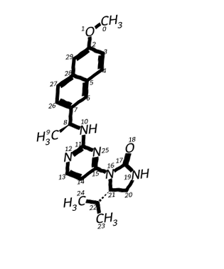 COc1ccc2cc([C@H](C)Nc3nccc(N4C(=O)NC[C@@H]4C(C)C)n3)ccc2c1